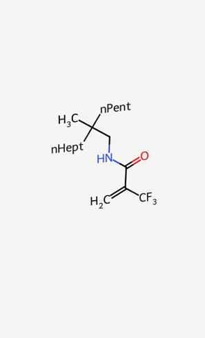 C=C(C(=O)NCC(C)(CCCCC)CCCCCCC)C(F)(F)F